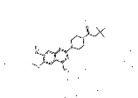 COc1cc2nc(N3CCN(C(=O)CC(C)(C)C)CC3)nc(N)c2cc1OC